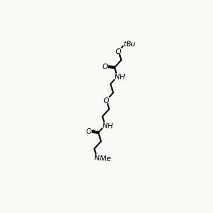 CNCCC(=O)NCCOCCNC(=O)COC(C)(C)C